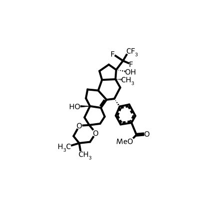 COC(=O)c1ccc([C@H]2C[C@@]3(C)C(CC[C@@]3(O)C(F)(F)C(F)(F)F)C3CC[C@@]4(O)CC5(CCC4=C32)OCC(C)(C)CO5)cc1